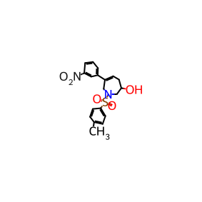 Cc1ccc(S(=O)(=O)N2CC(c3cccc([N+](=O)[O-])c3)=CCC(O)C2)cc1